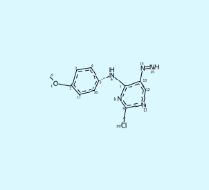 COc1ccc(Nc2nc(Cl)ncc2N=N)cc1